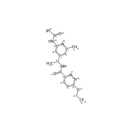 Cc1cc(C(C)NC(=O)c2ccc(OCC(F)(F)F)nn2)cc(NC(=O)C(C)C)n1